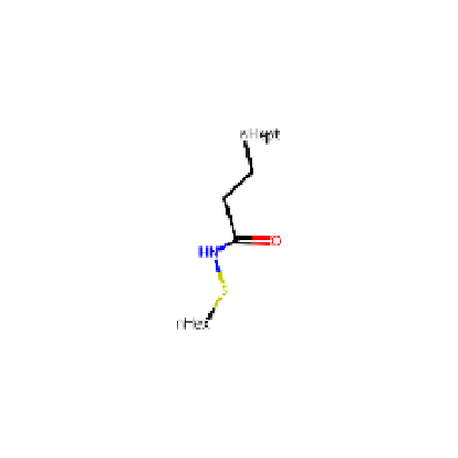 CCCCCCCCCC(=O)NSCCCCCC